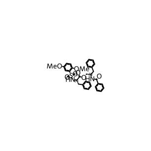 COc1ccc(OC)c(S(=O)(=O)N[C@H](Cc2ccccc2)C(=O)OC[C@@H](Cc2ccccc2)NC(=O)c2ccccc2)c1